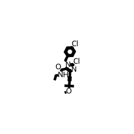 CCNC(=O)c1c(C#CC(C)(C)OC)nc(Cl)n1Cc1ccc(Cl)cc1